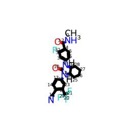 CNC(=O)c1ccc(N2C(=O)N(c3ccc(C#N)c(C(F)(F)F)c3)[C@@H]3CCCC[C@H]32)cc1F